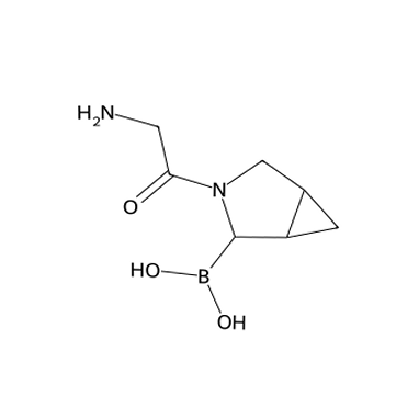 NCC(=O)N1CC2CC2C1B(O)O